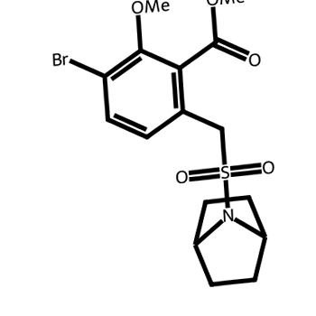 COC(=O)c1c(CS(=O)(=O)N2C3CCC2CC3)ccc(Br)c1OC